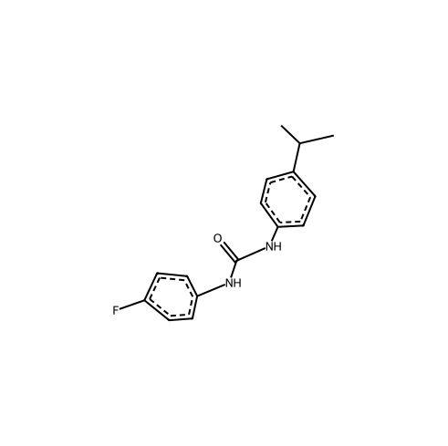 CC(C)c1ccc(NC(=O)Nc2ccc(F)cc2)cc1